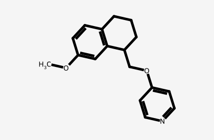 COc1ccc2c(c1)C(COc1ccncc1)CCC2